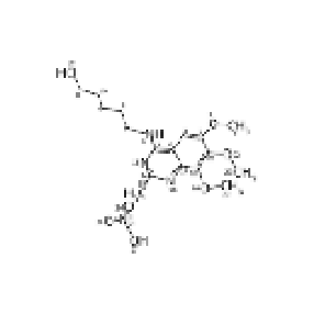 COc1cc2c(NCCCCCO)nc(C)nc2c(OC)c1OC.O=[N+]([O-])O